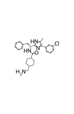 Cc1[nH]c([C@H](Cc2ccccc2)NC(=O)C2CCC(CN)CC2)nc1-c1cccc(Cl)c1